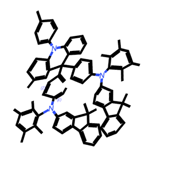 C=C(/C=C\C(=C/C)N(c1ccc2c(c1)C(C)(C)c1ccccc1-2)c1c(C)c(C)cc(C)c1C)C1(c2ccc(N(c3ccc4c(c3)C(C)(C)c3ccccc3-4)c3c(C)c(C)cc(C)c3C)cc2)c2ccccc2N(c2ccc(C)cc2)c2ccc(C)cc21